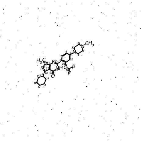 CN1CCN(c2ccc(-c3nc4c(c(C5CCCCC5)nn4C)c(=O)[nH]3)c(OC(F)F)c2)CC1